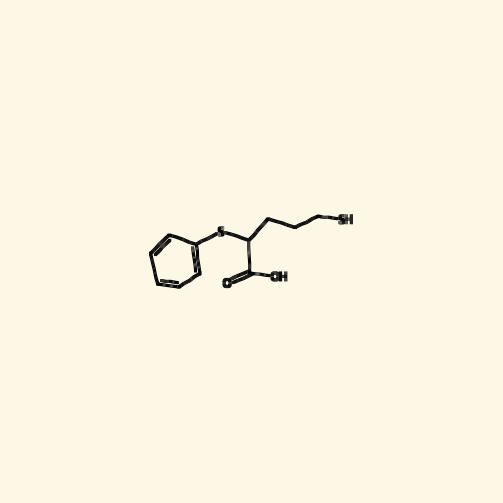 O=C(O)C(CCCS)Sc1ccccc1